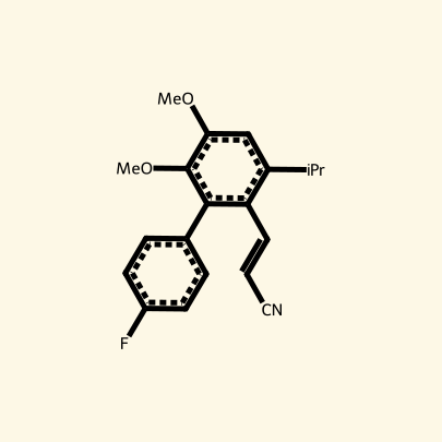 COc1cc(C(C)C)c(C=CC#N)c(-c2ccc(F)cc2)c1OC